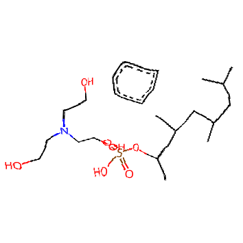 CC(C)CC(C)CC(C)CC(C)OS(=O)(=O)O.OCCN(CCO)CCO.c1ccccc1